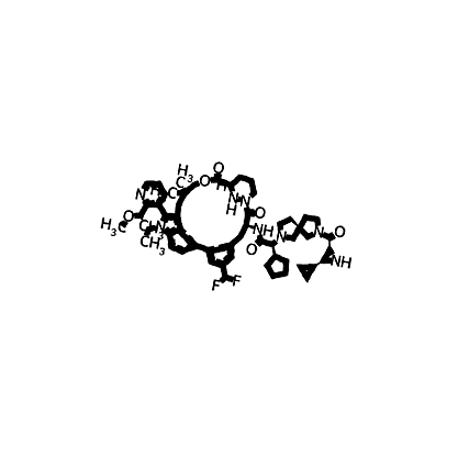 CCn1c(-c2cccnc2[C@H](C)OC)c2c3cc(ccc31)-c1cc(cc(C(F)F)c1)C[C@H](NC(=O)[C@H](C1CCCC1)N1CC[C@]3(CCN(C(=O)[C@@H]4N[C@@H]4C4CC4)C3)C1)C(=O)N1CCC[C@H](N1)C(=O)OCC(C)(C)C2